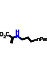 C=C(NCCCCCCCC)C(=O)O